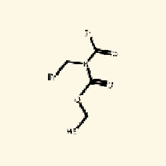 CC(C)CN(C(=O)Br)C(=O)OCS